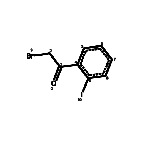 O=C(CBr)c1ccccc1I